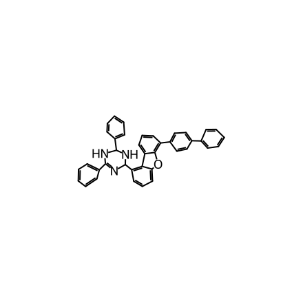 c1ccc(C2=NC(c3cccc4oc5c(-c6ccc(-c7ccccc7)cc6)cccc5c34)NC(c3ccccc3)N2)cc1